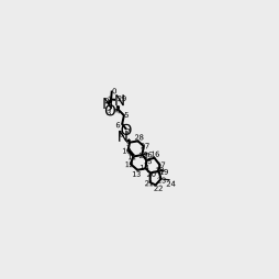 Cc1noc(CCON=C2C=C3CCC4C(CC[C@@]5(C)C4CC[C@@H]5C)[C@@]3(C)CC2)n1